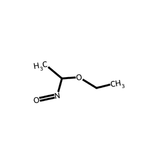 CCOC(C)N=O